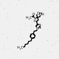 CCCCCCc1ccc(CCn2cc(CCC(CO)(CO)NC(C)=O)nn2)cc1